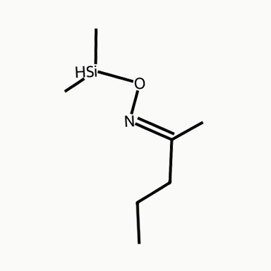 CCCC(C)=NO[SiH](C)C